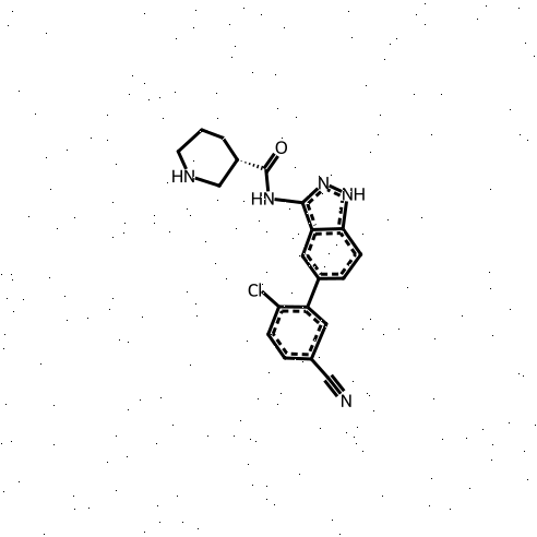 N#Cc1ccc(Cl)c(-c2ccc3[nH]nc(NC(=O)[C@H]4CCCNC4)c3c2)c1